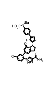 CC(C)(C)N(C(=O)O)c1ccc(-c2cnc([C@@H]3CCc4cc(-c5cc(Cl)ccc5-n5cc(C(N)=O)nn5)cc(=O)n43)[nH]2)cc1